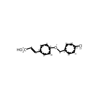 O=C(O)C=Cc1ccc(OCc2ccc(Cl)cc2)cc1